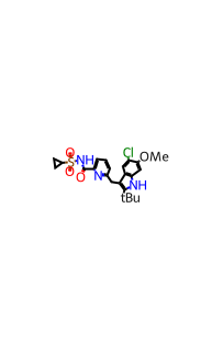 COc1cc2[nH]c(C(C)(C)C)c(Cc3cccc(C(=O)NS(=O)(=O)C4CC4)n3)c2cc1Cl